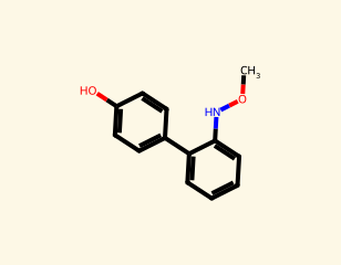 CONc1ccccc1-c1ccc(O)cc1